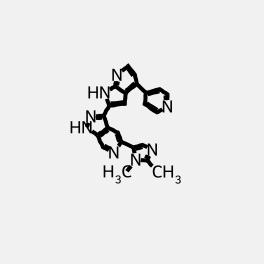 Cc1ncc(-c2cc3c(-c4cc5c(-c6ccncc6)ccnc5[nH]4)n[nH]c3cn2)n1C